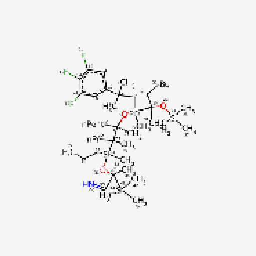 CCCCCC(C)(O[Si](C)(CC(C)(C)c1cc(F)c(F)c(F)c1)C(C)(CC(C)CC)O[Si](C)(C)C)C(C)(CCC)[Si](C)(CCC(F)(F)F)OC(C)(C=N)[Si](C)(C)C